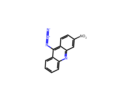 [N-]=[N+]=Nc1c2ccccc2nc2cc([N+](=O)[O-])ccc12